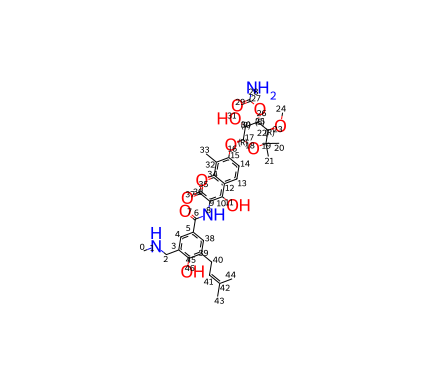 CNCc1cc(C(=O)Nc2c(O)c3ccc(O[C@@H]4OC(C)(C)[C@H](OC)[C@@H](OC(N)=O)[C@H]4O)c(C)c3oc2=O)cc(CC=C(C)C)c1O